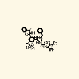 CCNC(=O)[C@@H](NC(=O)[C@H](C)NC[C@H](Cc1ccccc1)NC(=O)c1cc(C(=O)N[C@H](C)c2ccccc2)cc(N(C)S(=O)(=O)C(C)C)c1)C(C)C